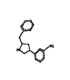 O=[N+]([O-])c1cccc(C2CNC(Cc3ccccc3)C2)c1